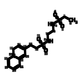 CCS(=O)(=O)NCCNS(=O)(=O)CCC1=CCN2C=CC=CC2=C1